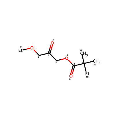 CCOCC(=O)COC(=O)C(C)(C)CC